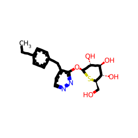 CCc1ccc(Cc2ccnnc2O[C@@H]2S[C@H](CO)[C@@H](O)[C@H](O)[C@H]2O)cc1